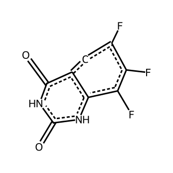 O=c1[nH]c(=O)c2cc(F)c(F)c(F)c2[nH]1